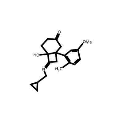 COc1ccc(C)c(C23CC(=O)CCC2(O)/C(=N/CC2CC2)C3)c1